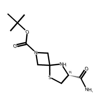 CC(C)(C)OC(=O)N1CC2(C1)N[C@H](C(N)=O)CS2